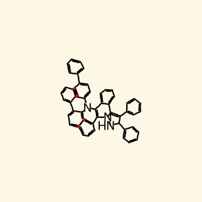 c1c(-c2ccccc2)ccc(N(C2=C(c3ccccc3)N3NC(c4ccccc4)C(c4ccccc4)=C3c3ccccc32)c2ccccc2C2=CC=CCC2)c#1